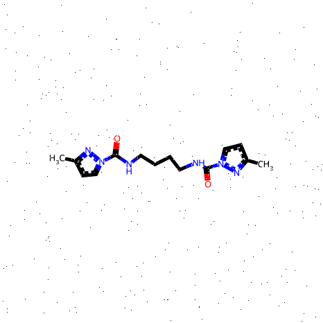 Cc1ccn(C(=O)NCCCCNC(=O)n2ccc(C)n2)n1